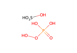 O=P(O)(O)OO.O=S(=O)(O)O